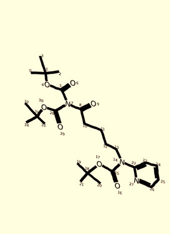 CC(C)(C)OC(=O)N(C(=O)CCCCN(C(=O)OC(C)(C)C)c1ccccn1)C(=O)OC(C)(C)C